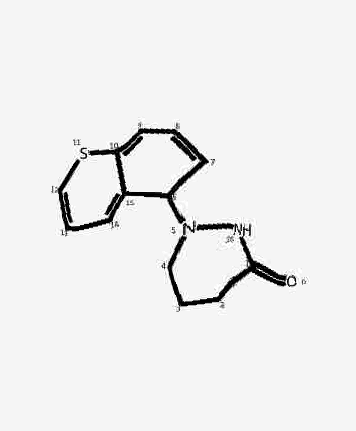 O=C1CCCN(C2C=CC=C3SC=CC=C32)N1